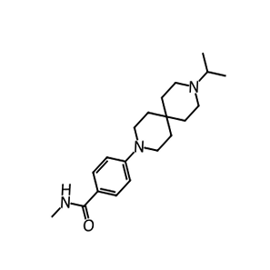 CNC(=O)c1ccc(N2CCC3(CC2)CCN(C(C)C)CC3)cc1